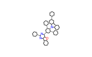 c1ccc(-c2ccc3c(c2)c2ccccc2n3-c2c(-c3ccccc3)cc(-c3nc(-c4ccccc4)nc4c3oc3ccccc34)cc2-c2ccccc2)cc1